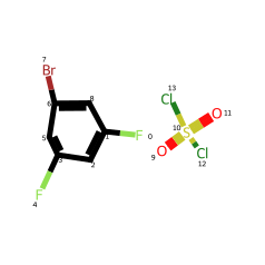 Fc1cc(F)cc(Br)c1.O=S(=O)(Cl)Cl